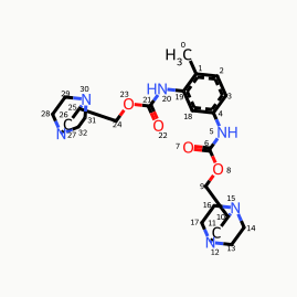 Cc1ccc(NC(=O)OCC2CN3CCN2CC3)cc1NC(=O)OCC1CN2CCN1CC2